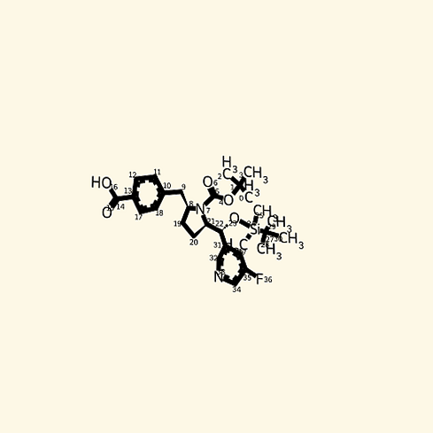 CC(C)(C)OC(=O)N1[C@H](Cc2ccc(C(=O)O)cc2)CC[C@@H]1[C@H](O[Si](C)(C)C(C)(C)C)c1cncc(F)c1